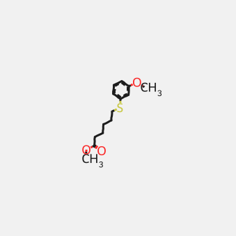 COC(=O)CCCCCSc1cccc(OC)c1